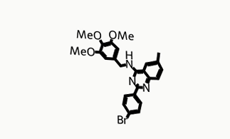 COc1cc(CNc2nc(-c3ccc(Br)cc3)nc3ccc(C)cc23)cc(OC)c1OC